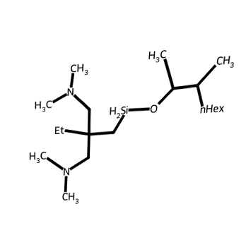 CCCCCCC(C)C(C)O[SiH2]CC(CC)(CN(C)C)CN(C)C